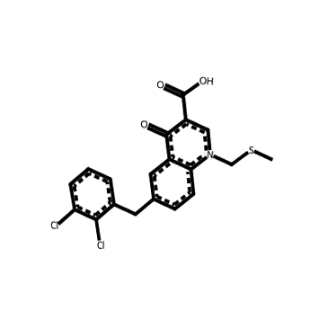 CSCn1cc(C(=O)O)c(=O)c2cc(Cc3cccc(Cl)c3Cl)ccc21